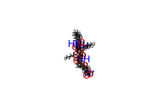 CCCCCCOc1cc(C(=O)NNC(=O)c2ccc(C(C)(C)C)cc2)c(OCCCCCC)cc1C(=O)CNC(=O)c1cccc(Oc2ccc([N+](=O)[O-])cc2)c1